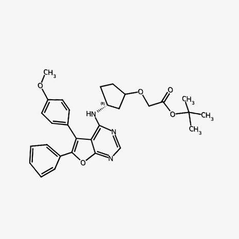 COc1ccc(-c2c(-c3ccccc3)oc3ncnc(N[C@@H]4CCC(OCC(=O)OC(C)(C)C)C4)c23)cc1